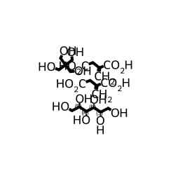 C=C(CC(=O)O)C(=O)O.C=C(CC(=O)O)C(=O)O.OCC(CO)(CO)CO.OC[C@@H](O)[C@@H](O)[C@H](O)[C@@H](O)CO